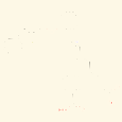 O=C(O)CCCCC(/C=C/c1ccccc1OCc1cc2ccccc2s1)Cc1ccc(C(=O)O)cc1